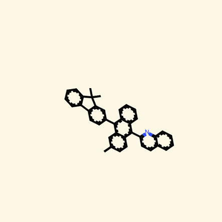 Cc1ccc2c(-c3ccc4ccccc4n3)c3ccccc3c(-c3ccc4c(c3)C(C)(C)c3ccccc3-4)c2c1